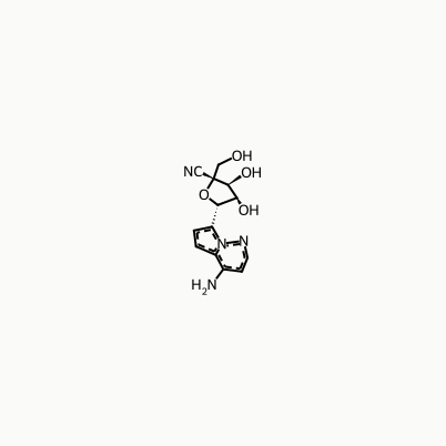 N#C[C@]1(CO)O[C@@H](c2ccc3c(N)ccnn23)[C@H](O)[C@@H]1O